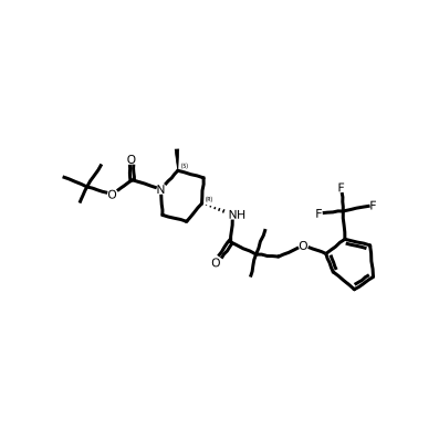 C[C@H]1C[C@H](NC(=O)C(C)(C)COc2ccccc2C(F)(F)F)CCN1C(=O)OC(C)(C)C